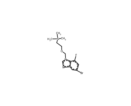 C[Si](C)(C)CCOCn1cnc2cc(Br)cc(F)c21